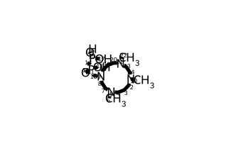 CN1CCCN(C)CCN(CP(=O)(O)C[PH](=O)O)CCCN(C)CC1